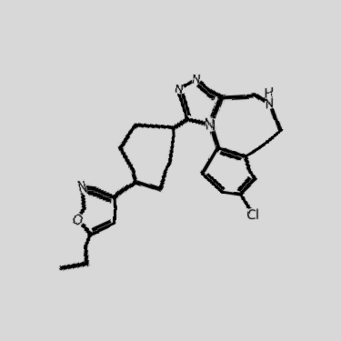 CCc1cc(C2CCC(c3nnc4n3-c3ccc(Cl)cc3CNC4)CC2)no1